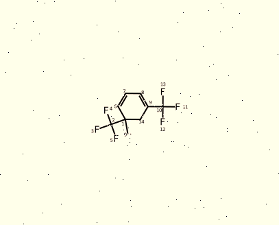 [CH2]C1(C(F)(F)F)C=CC=C(C(F)(F)F)C1